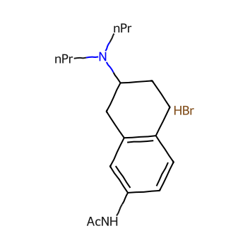 Br.CCCN(CCC)C1CCc2ccc(NC(C)=O)cc2C1